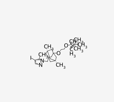 Cc1c(I)cnn1CC12CC3(OCCO[Si](C)(C)C(C)(C)C)C[C@](C)(C1)C[C@](C)(C2)C3